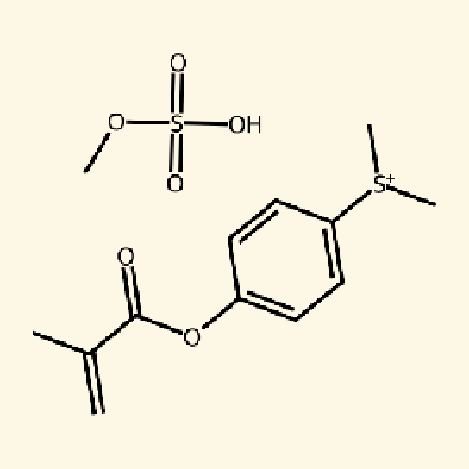 C=C(C)C(=O)Oc1ccc([S+](C)C)cc1.COS(=O)(=O)O